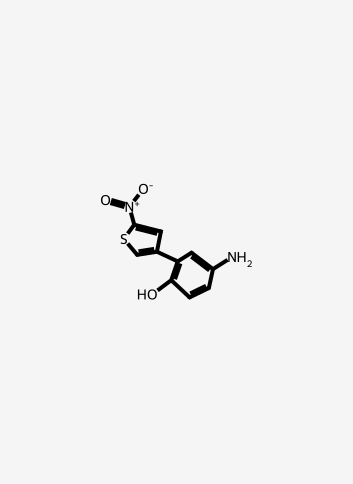 Nc1ccc(O)c(-c2csc([N+](=O)[O-])c2)c1